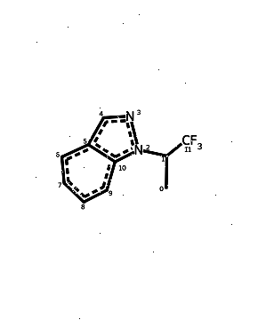 CC(n1ncc2ccccc21)C(F)(F)F